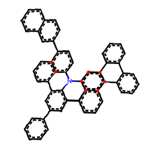 c1ccc(-c2cc(-c3ccccc3)c(N(c3ccc(-c4ccc5ccccc5c4)cc3)c3ccc(-c4ccccc4-c4ccccc4-c4ccccc4)cc3)c(-c3ccccc3)c2)cc1